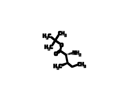 CC[C@@H](C)[C@@H](N)C(=O)OC(C)(C)C